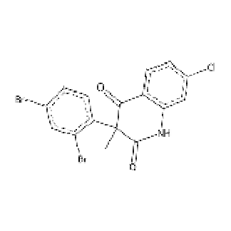 CC1(c2ccc(Br)cc2Br)C(=O)Nc2cc(Cl)ccc2C1=O